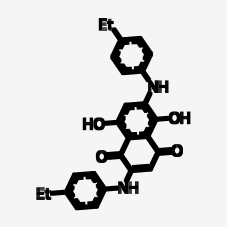 CCc1ccc(NC2=CC(=O)c3c(O)c(Nc4ccc(CC)cc4)cc(O)c3C2=O)cc1